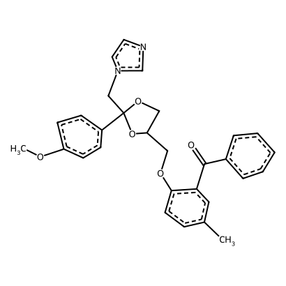 COc1ccc(C2(Cn3ccnc3)OCC(COc3ccc(C)cc3C(=O)c3ccccc3)O2)cc1